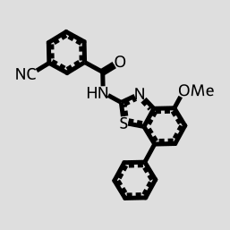 COc1ccc(-c2ccccc2)c2sc(NC(=O)c3cccc(C#N)c3)nc12